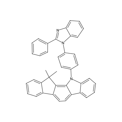 CC1(C)c2ccccc2-c2ccc3c4ccccc4n(-c4ccc(-n5c(-c6ccccc6)nc6ccccc65)cc4)c3c21